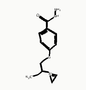 CC(COc1ccc(C(=O)NN)cc1)[N+]1=CC1